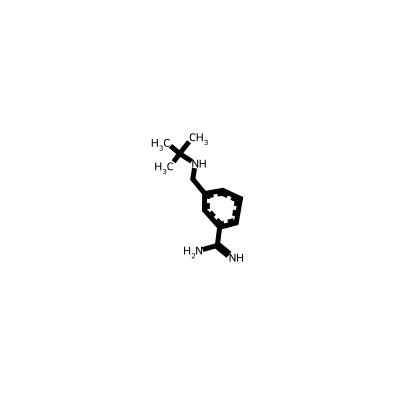 CC(C)(C)NCc1cccc(C(=N)N)c1